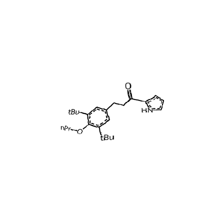 CCCOc1c(C(C)(C)C)cc(CCC(=O)c2ccc[nH]2)cc1C(C)(C)C